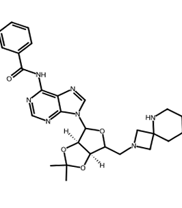 CC1(C)O[C@@H]2C(CN3CC4(CCCCN4)C3)OC(n3cnc4c(NC(=O)c5ccccc5)ncnc43)[C@@H]2O1